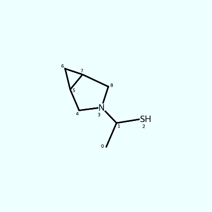 CC(S)N1CC2CC2C1